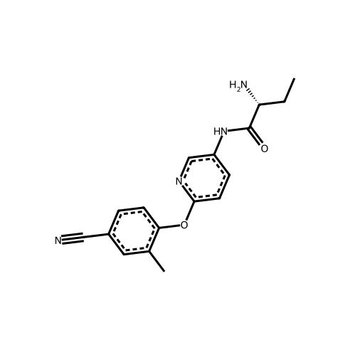 CC[C@@H](N)C(=O)Nc1ccc(Oc2ccc(C#N)cc2C)nc1